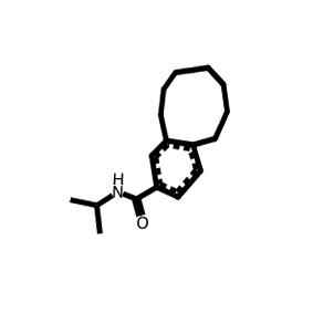 CC(C)NC(=O)c1ccc2c(c1)CCCCCCC2